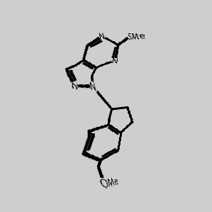 COc1ccc2c(c1)CCC2n1ncc2cnc(SC)nc21